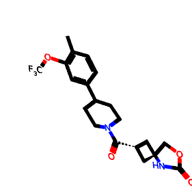 Cc1ccc(C2CCN(C(=O)[C@H]3C[C@]4(COC(=O)N4)C3)CC2)cc1OC(F)(F)F